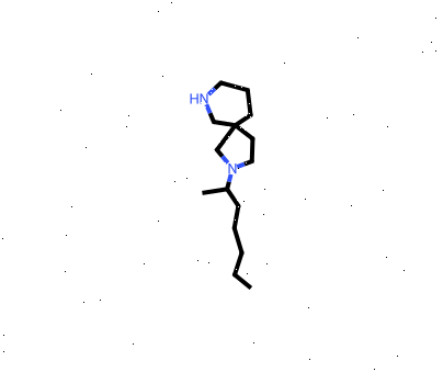 CCCCCC(C)N1CCC2(CCCNC2)C1